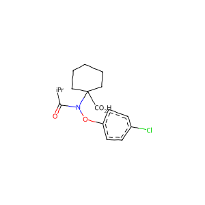 CC(C)C(=O)N(Oc1ccc(Cl)cc1)C1(C(=O)O)CCCCC1